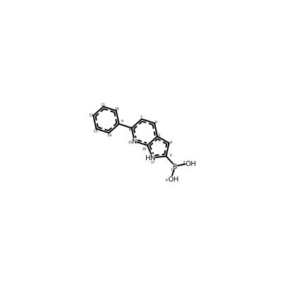 OB(O)c1cc2ccc(-c3ccccc3)nc2[nH]1